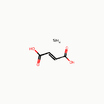 O=C(O)/C=C/C(=O)O.[SiH4]